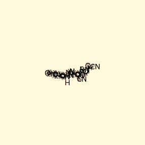 N#CCC(=O)N1CC[C@H](Oc2ccc(-c3ncnc(Nc4ccc(N5CCN(C6COC6)CC5)cc4)n3)cc2C#N)C(F)(F)C1